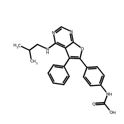 CC(C)CNc1ncnc2oc(-c3ccc(NC(=O)O)cc3)c(-c3ccccc3)c12